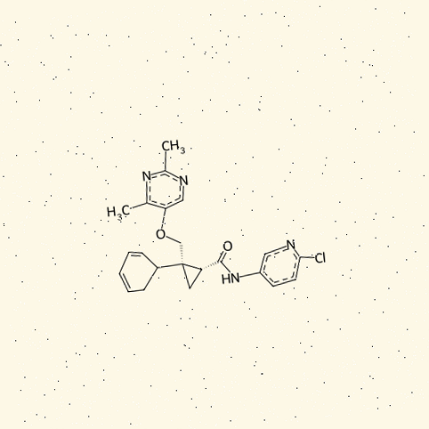 Cc1ncc(OC[C@@]2(C3C=CC=CC3)C[C@H]2C(=O)Nc2ccc(Cl)nc2)c(C)n1